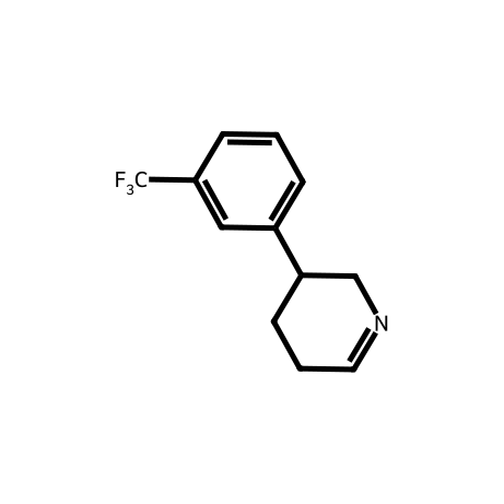 FC(F)(F)c1cccc(C2CCC=NC2)c1